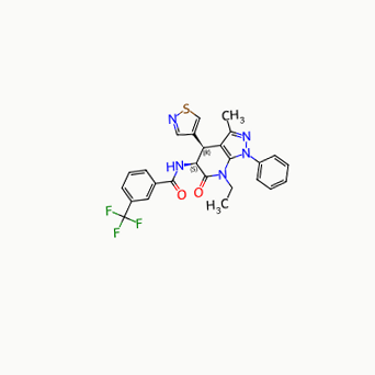 CCN1C(=O)[C@@H](NC(=O)c2cccc(C(F)(F)F)c2)[C@@H](c2cnsc2)c2c(C)nn(-c3ccccc3)c21